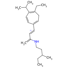 C=C(/C=C/C1=CCC(CC)=C(C(C)C)C=C1)NCCC(C)CC